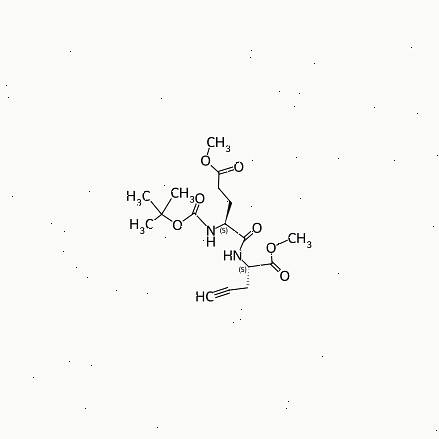 C#CC[C@H](NC(=O)[C@H](CCC(=O)OC)NC(=O)OC(C)(C)C)C(=O)OC